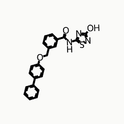 O=C(Nc1nc(O)ns1)c1cccc(COc2ccc(-c3ccccc3)cc2)c1